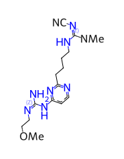 CN/C(=N/C#N)NCCCCc1nccc(N/C(N)=N\CCOC)n1